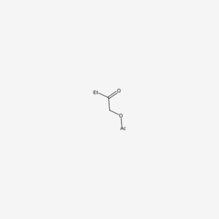 C[CH]C(=O)COC(C)=O